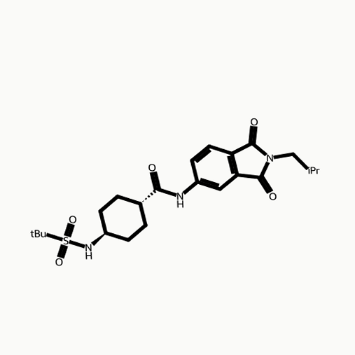 CC(C)CN1C(=O)c2ccc(NC(=O)[C@H]3CC[C@H](NS(=O)(=O)C(C)(C)C)CC3)cc2C1=O